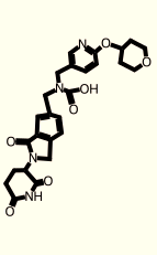 O=C1CCC(N2Cc3ccc(CN(Cc4ccc(OC5CCOCC5)nc4)C(=O)O)cc3C2=O)C(=O)N1